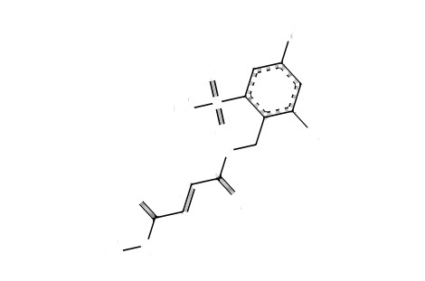 CC(C)c1cc(F)c(COC(=O)/C=C/C(=O)OC(C)(C)C)c(S(C)(=O)=O)c1